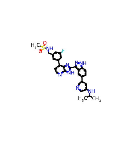 CC(C)Nc1cncc(-c2ccc3[nH]nc(-c4nc5c(-c6cc(F)cc(CNS(C)(=O)=O)c6)ccnc5[nH]4)c3c2)c1